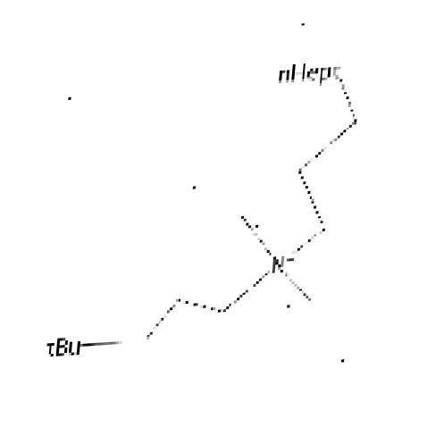 CCCCCCCCCC[N+](C)(C)CCCC(C)(C)C